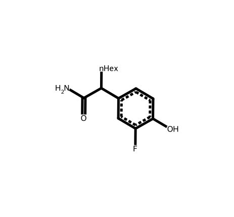 CCCCCCC(C(N)=O)c1ccc(O)c(F)c1